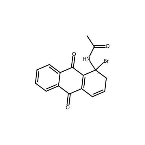 CC(=O)NC1(Br)CC=CC2=C1C(=O)c1ccccc1C2=O